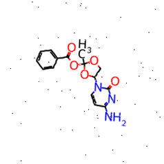 CC1(OC(=O)c2ccccc2)OCC(n2ccc(N)nc2=O)O1